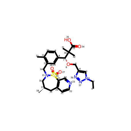 CCn1cc(CO[C@H](c2ccc(C)c(CN3C[C@@H](C)Cc4ccncc4S3(=O)=O)c2)C(C)(C)C(=O)O)nn1